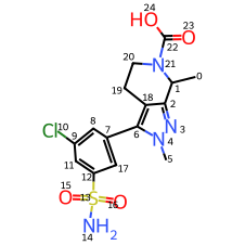 CC1c2nn(C)c(-c3cc(Cl)cc(S(N)(=O)=O)c3)c2CCN1C(=O)O